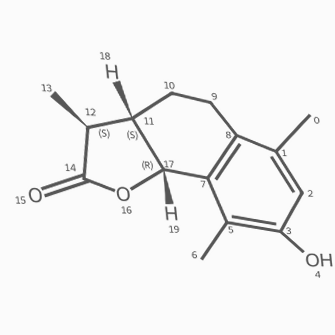 Cc1cc(O)c(C)c2c1CC[C@H]1[C@H](C)C(=O)O[C@@H]21